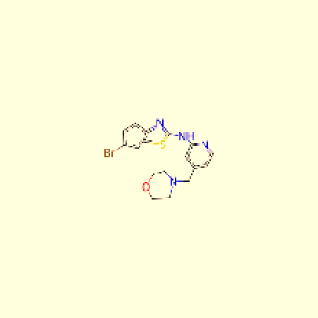 Brc1ccc2nc(Nc3cc(CN4CCOCC4)ccn3)sc2c1